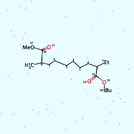 CCC(CCCCCCC(C)C(=O)OC)C(=O)OC(C)(C)C